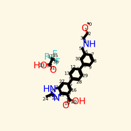 COCCNCc1cccc(-c2ccc(-c3cc(C(=O)O)c4nc(C)[nH]c4c3)cc2)c1.O=C(O)C(F)(F)F